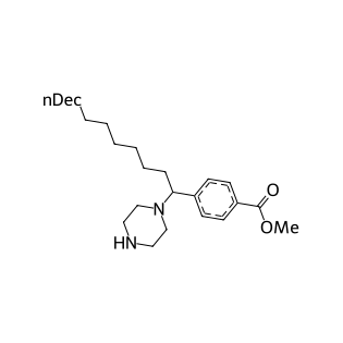 CCCCCCCCCCCCCCCCC(c1ccc(C(=O)OC)cc1)N1CCNCC1